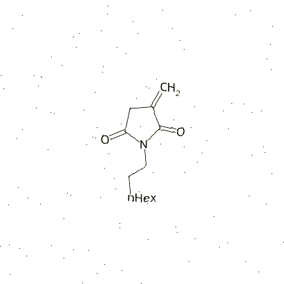 C=C1CC(=O)N(CCCCCCCC)C1=O